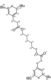 CC(C)(C)C1=CC(CCC(=O)OCCCCCCOC(=O)CCC2=CC(C(C)(C)C)CC(C(C)(C)C)=C2)=CC(C(C)(C)C)C1